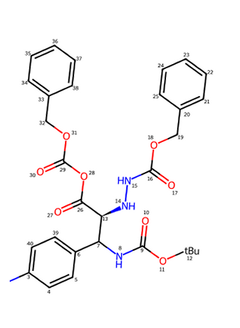 CN(C)c1ccc(C(NC(=O)OC(C)(C)C)[C@H](NNC(=O)OCc2ccccc2)C(=O)OC(=O)OCc2ccccc2)cc1